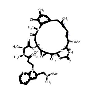 CNN(C)Cc1cc2cccnc2n1CCC(=O)N(C)[C@@H](C)C(=O)O[C@H]1CC(=O)N(C)c2cc(cc(C)c2Cl)C/C(C)=C/C=C/[C@@H](OC)[C@@]2(O)C[C@H](OC(=O)N2)[C@@H](C)C2O[C@]21C